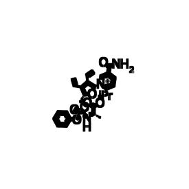 C=C[C@@H]1[C@H](C=C)[C@@H](COP(=O)(N[C@@H](C)C(=O)OC(C)C)Oc2ccccc2)O[C@H]1[n+]1cccc(C(N)=O)c1